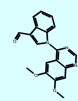 COc1cc2ncnc(-n3cc(C=O)c4ccccc43)c2cc1OC